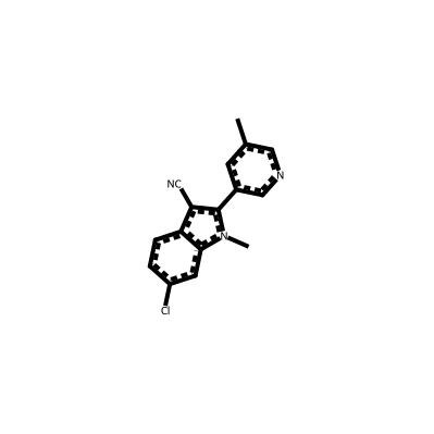 Cc1cncc(-c2c(C#N)c3ccc(Cl)cc3n2C)c1